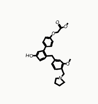 COC(=O)COc1ccc(-c2cc(O)ccc2Cc2ccc(CN3CCCC3)c(OC)c2)cc1